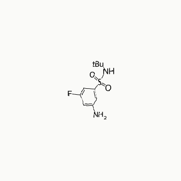 CC(C)(C)NS(=O)(=O)c1cc(N)cc(F)c1